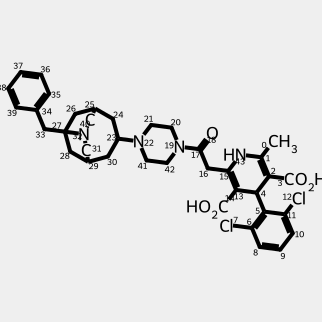 CC1=C(C(=O)O)C(c2c(Cl)cccc2Cl)C(C(=O)O)=C(CC(=O)N2CCN(C3CC4CCCC(C3)CN(Cc3ccccc3)C4)CC2)N1